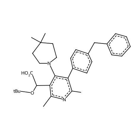 Cc1nc(C)c(C(OC(C)(C)C)C(=O)O)c(N2CCC(C)(C)CC2)c1-c1ccc(Cc2ccccc2)cc1